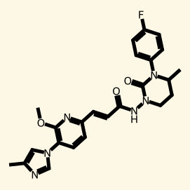 COc1nc(/C=C/C(=O)NN2CCC(C)N(c3ccc(F)cc3)C2=O)ccc1-n1cnc(C)c1